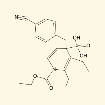 CCOC(=O)N1C=CC(Cc2ccc(C#N)cc2)(P(=O)(O)O)C(CC)=C1CC